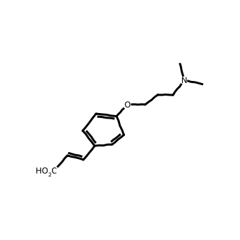 CN(C)CCCOc1ccc(C=CC(=O)O)cc1